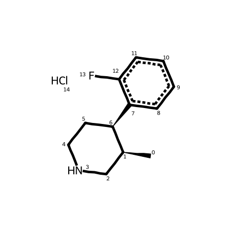 C[C@H]1CNCC[C@H]1c1ccccc1F.Cl